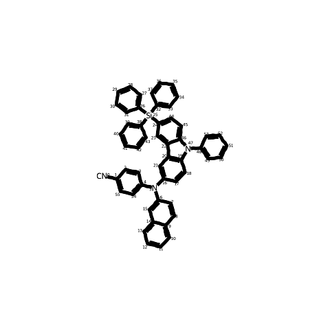 [C-]#[N+]c1ccc(N(c2ccc3ccccc3c2)c2ccc3c(c2)c2cc([Si](c4ccccc4)(c4ccccc4)c4ccccc4)ccc2n3-c2ccccc2)cc1